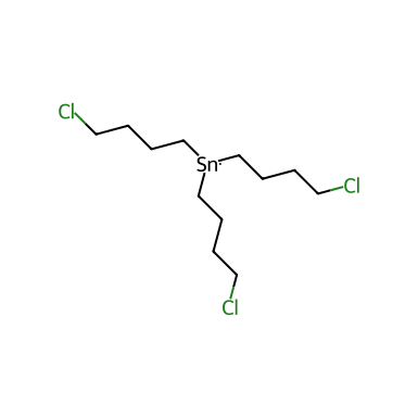 ClCCC[CH2][Sn]([CH2]CCCCl)[CH2]CCCCl